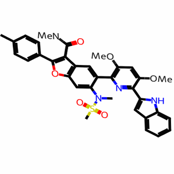 CNC(=O)c1c(-c2ccc(C)cc2)oc2cc(N(C)S(C)(=O)=O)c(-c3nc(-c4cc5ccccc5[nH]4)c(OC)cc3OC)cc12